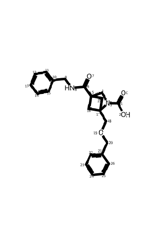 O=C(O)N1CC2(C(=O)NCc3ccccc3)CC1(COCc1ccccc1)C2